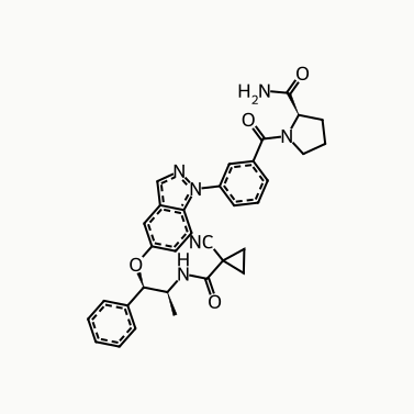 C[C@H](NC(=O)C1(C#N)CC1)[C@H](Oc1ccc2c(cnn2-c2cccc(C(=O)N3CCC[C@@H]3C(N)=O)c2)c1)c1ccccc1